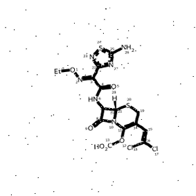 CCON=C(C(=O)NC1C(=O)N2C(OC(=O)O)=C(C=C(Cl)Cl)CS[C@@H]12)c1nsc(N)n1